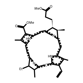 C=Cc1c(C)c2cc3nc(cc4[nH]c(cc5nc(cc1[nH]2)C(C)C5CC)c(C)c4C(=O)OC)[C@H](CCC(=O)OC)[C@H]3C